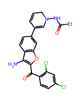 CCC(=O)NN1C=C(c2ccc3c(N)c(C(=O)c4ccc(Cl)cc4Cl)oc3c2)C=CC1